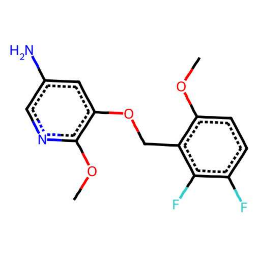 COc1ccc(F)c(F)c1COc1cc(N)cnc1OC